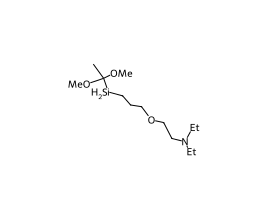 CCN(CC)CCOCCC[SiH2]C(C)(OC)OC